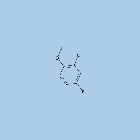 Fc1ccc(OI)c(Cl)c1